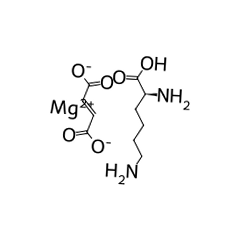 NCCCC[C@H](N)C(=O)O.O=C([O-])C=CC(=O)[O-].[Mg+2]